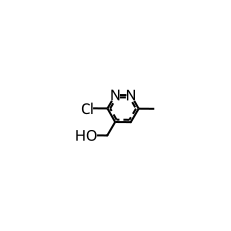 Cc1cc(CO)c(Cl)nn1